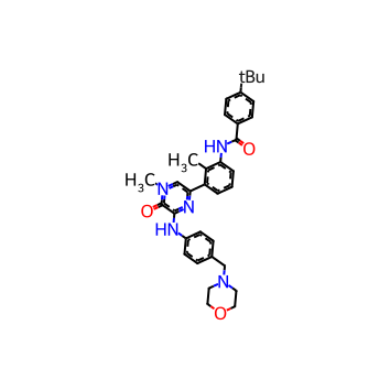 Cc1c(NC(=O)c2ccc(C(C)(C)C)cc2)cccc1-c1cn(C)c(=O)c(Nc2ccc(CN3CCOCC3)cc2)n1